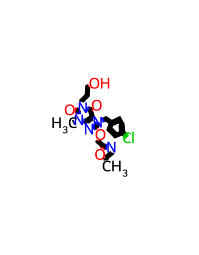 CC1CN=C(COc2nc3c(c(=O)n(CCCO)c(=O)n3C)n2Cc2ccc(Cl)cc2)O1